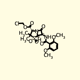 COc1cccc(OC)c1C(=O)N[C@@H]1C(=O)N2[C@@H](C(=O)OCCl)C(C)(C)S(=O)(=O)[C@H]12